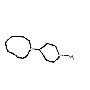 CN1CCC(N2CCCCCCC2)CC1